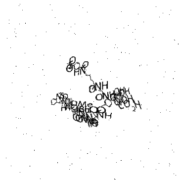 CC[C@H](C)[C@@H]([C@@H](CC(=O)N1CCC[C@H]1[C@H](OC)[C@@H](C)C(=O)N[C@@H](Cc1ccccc1)c1nccs1)OC)N(C)C(=O)[C@@H](NC(=O)C(C)(C)NC(=O)OCc1ccc(O[C@@H]2O[C@H](C(=O)O)[C@@H](O)[C@H](O)[C@H]2O)c(NC(=O)CCNC(=O)CCCCCNC(=O)c2ccc(S(C)(=O)=O)cc2)c1)C(C)C